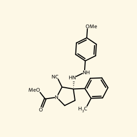 COC(=O)N1CC[C@](NNc2ccc(OC)cc2)(c2ccccc2C)C1C#N